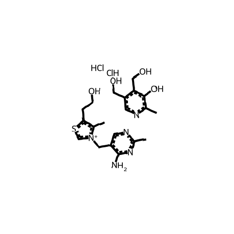 Cc1ncc(CO)c(CO)c1O.Cc1ncc(C[n+]2csc(CCO)c2C)c(N)n1.Cl.Cl